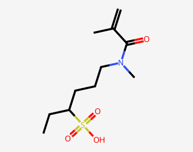 C=C(C)C(=O)N(C)CCCC(CC)S(=O)(=O)O